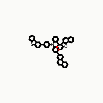 c1ccc(N(c2ccc(-c3ccc4c(ccc5ccccc54)c3)cc2)c2ccc(-c3ccc4sc5ccccc5c4c3)cc2)c(-c2cccc3oc4c5ccccc5ccc4c23)c1